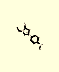 CCN1C[C@@H](c2ccc(OC)cc2)CC1=O